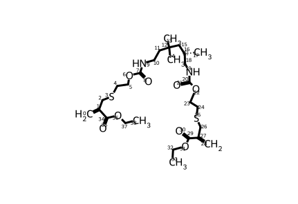 C=C(CSCCOC(=O)NCCC(C)(C)C[C@H](C)CNC(=O)OCCSCC(=C)C(=O)OCC)C(=O)OCC